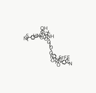 COc1nc(OCCOCCOCC(=O)N[C@H](C(=O)N2C[C@H](O)C[C@H]2C(=O)NCc2ccc(-c3scnc3C)cc2)C(C)(C)C)ccc1N1C(=S)N(c2ccc(C#N)c(C(F)(F)F)c2F)C(=O)C1(C)C